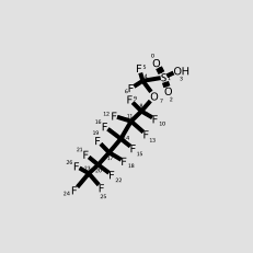 O=S(=O)(O)C(F)(F)OC(F)(F)C(F)(F)C(F)(F)C(F)(F)C(F)(F)C(F)(F)F